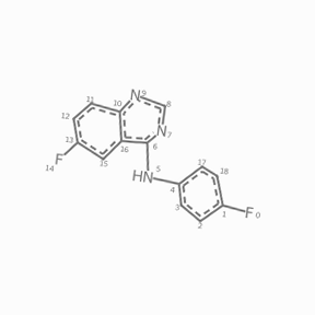 Fc1ccc(Nc2ncnc3ccc(F)cc23)cc1